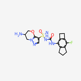 NC1COc2c([S@@](N)(=O)=NC(=O)Nc3c4c(c(F)c5c3CC5)CCC4)cnn2C1